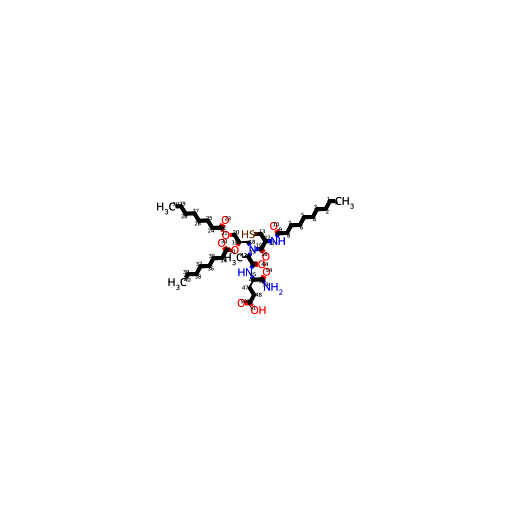 CCCCCCCCCC(=O)NC(CS)C(=O)N(C[C@H](COC(=O)CCCCCCC)OC(=O)CCCCCCC)[C@@H](C)C(=O)N[C@H](CCC(=O)O)C(N)=O